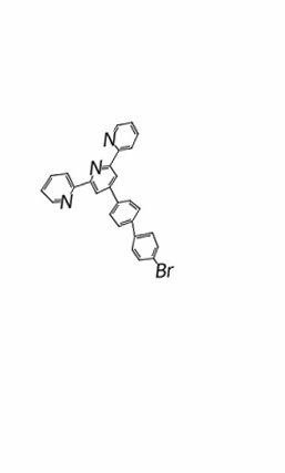 Brc1ccc(-c2ccc(-c3cc(-c4ccccn4)nc(-c4ccccn4)c3)cc2)cc1